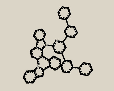 c1ccc(-c2cccc(-c3cc(-c4cccc(-c5ccccc5)c4)nc(-n4c5ccccc5c5ccc6c(c7ccccc7c7cc8ccccc8n76)c54)c3)c2)cc1